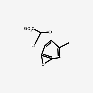 CCOC(=O)C(CC)CC.Cc1ccc2c(c1)O2